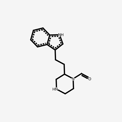 O=[C]N1CCNCC1CCc1c[nH]c2ccccc12